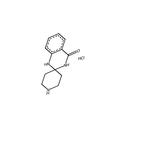 Cl.O=C1NC2(CCNCC2)Nc2ccccc21